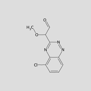 COC(C=O)c1nnc2cccc(Cl)c2n1